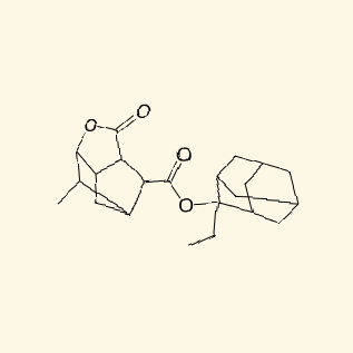 CCC1(OC(=O)C2C3CC4C(OC(=O)C42)C3C)C2CC3CC(C2)CC1C3